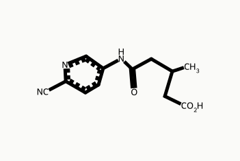 CC(CC(=O)O)CC(=O)Nc1ccc(C#N)nc1